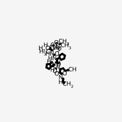 C#CCCC(NC(=O)[C@@H]1[C@H]2CCC[C@H]2CN1C(=O)[C@@H](NC(=O)N[C@H](CN(C)S(=O)(=O)C(C)C)C(C)(C)C)C1CCCCC1)C(=O)C(=O)NCC=C